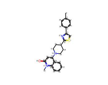 Cc1ccc(-c2csc(C3CCN(c4cc(=O)n(C)c5ccccc45)CC3)n2)cc1